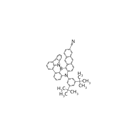 CC(C)(C)c1cc(N2c3cccc4c3B(c3c2ccc2cc5cc(C#N)ccc5cc32)n2c3ccccc3c3cccc-4c32)cc(C(C)(C)C)c1